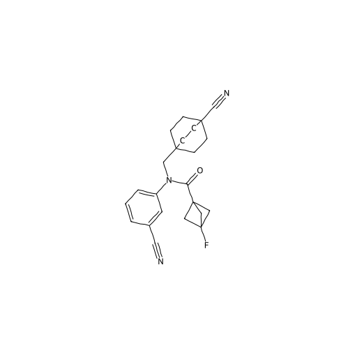 N#Cc1cccc(N(CC23CCC(C#N)(CC2)CC3)C(=O)C23CC(F)(C2)C3)c1